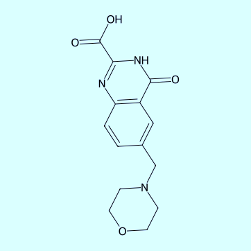 O=C(O)c1nc2ccc(CN3CCOCC3)cc2c(=O)[nH]1